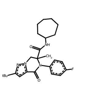 CC(C)(C)c1cc2n(n1)CC(C)(C(=O)NC1CCCCCC1)N(c1ccc(F)cc1)C2=O